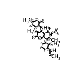 CSNc1cccc(-c2c(C)n(C3CC3)c(=O)c3c(Nc4ccc(C)cc4F)c(C)c(=O)oc23)c1C